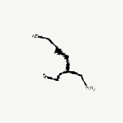 NCC(C[O])CCCO